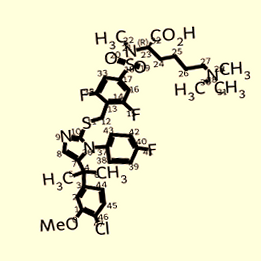 COc1cc(C(C)(C)c2cnc(SCc3c(F)cc(S(=O)(=O)N(C)[C@H](CCCC[N+](C)(C)C)C(=O)O)cc3F)n2-c2ccc(F)cc2)ccc1Cl